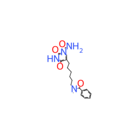 CN(CCCCCCc1cn(C(N)=O)c(=O)[nH]c1=O)C(=O)c1ccccc1